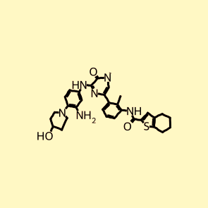 Cc1c(NC(=O)c2cc3c(s2)CCCC3)cccc1-c1cn(C)c(=O)c(Nc2ccc(N3CCC(O)CC3)c(N)c2)n1